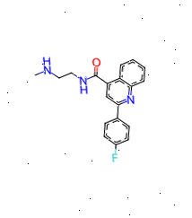 CNCCNC(=O)c1cc(-c2ccc(F)cc2)nc2ccccc12